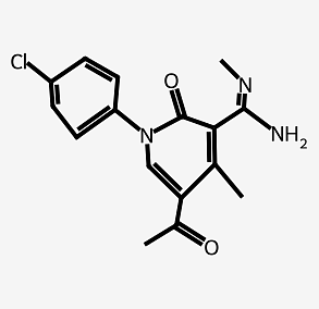 C/N=C(/N)c1c(C)c(C(C)=O)cn(-c2ccc(Cl)cc2)c1=O